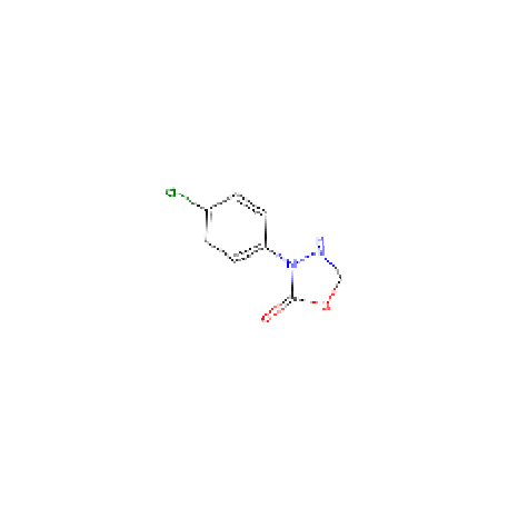 O=C1OCNN1c1ccc(Cl)cc1